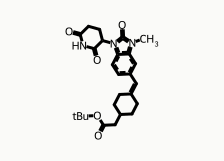 Cn1c(=O)n(C2CCC(=O)NC2=O)c2ccc(C=C3CCC(CC(=O)OC(C)(C)C)CC3)cc21